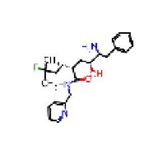 CC(C)(F)CC[C@H](C[C@H](O)[C@@H](N)Cc1ccccc1)C(=O)NCc1ccccn1